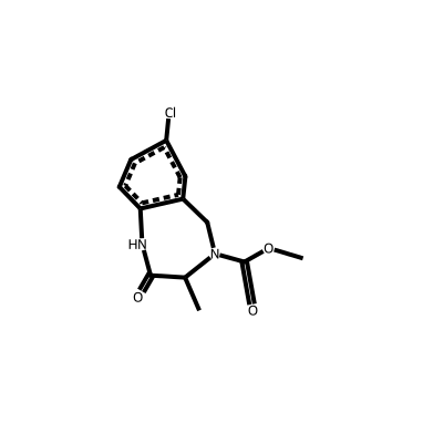 COC(=O)N1Cc2cc(Cl)ccc2NC(=O)C1C